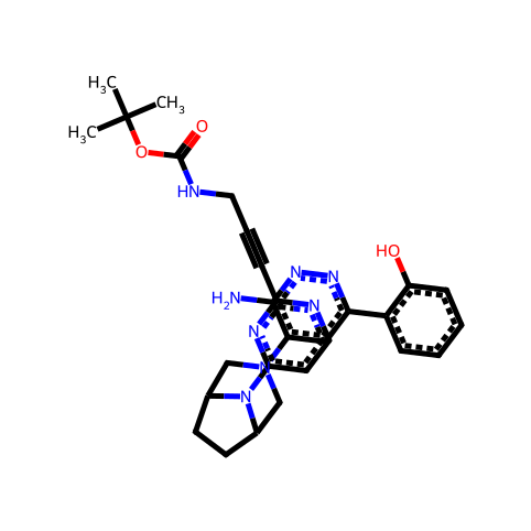 CC(C)(C)OC(=O)NCC#Cc1nccc(N2C3CCC2CN(c2cc(-c4ccccc4O)nnc2N)C3)n1